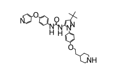 CC(C)(C)c1cc(NC(=O)Nc2ccc(Oc3ccncc3)cc2)n(-c2ccc(OCCC3CCNCC3)cc2)n1